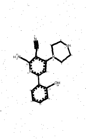 N#Cc1c(N2CCNCC2)cc(-c2ccccc2O)nc1N